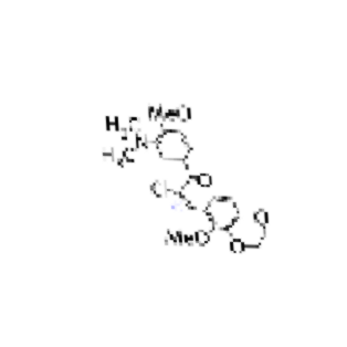 COc1ccc(C(=O)/C(Cl)=C\c2ccc3c(c2OC)OCCO3)cc1N(C)C